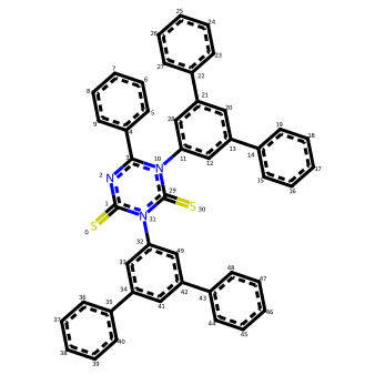 S=c1nc(-c2ccccc2)n(-c2cc(-c3ccccc3)cc(-c3ccccc3)c2)c(=S)n1-c1cc(-c2ccccc2)cc(-c2ccccc2)c1